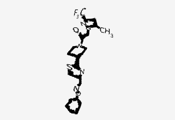 Cc1cc(C(F)(F)F)nn1CC(=O)N1CCC(c2nc(C=NOc3ccccc3)cs2)CC1